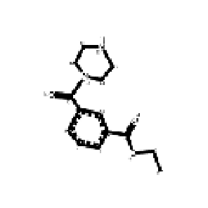 CCOC(=O)c1cccc(C(=O)N2CCNCC2)c1